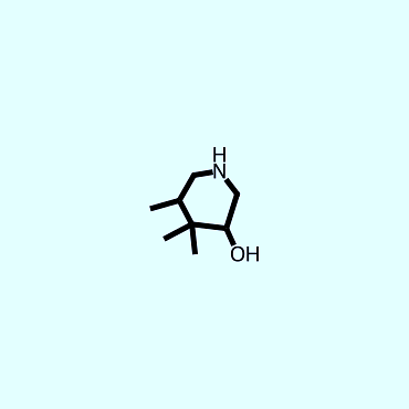 CC1CNCC(O)C1(C)C